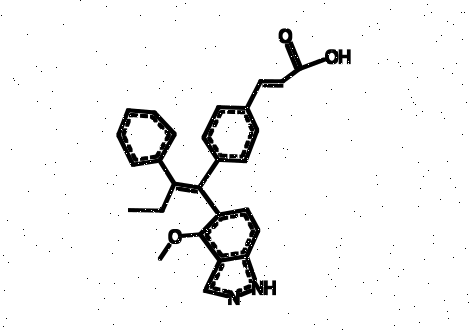 CCC(=C(c1ccc(C=CC(=O)O)cc1)c1ccc2[nH]ncc2c1OC)c1ccccc1